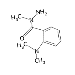 CN(N)C(=O)c1ccccc1N(C)C